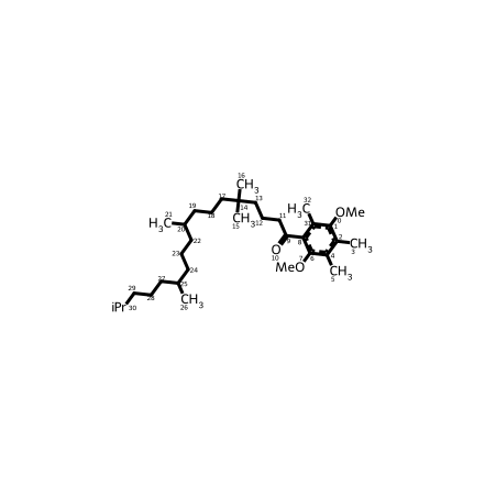 COc1c(C)c(C)c(OC)c(C(=O)CCCC(C)(C)CCCC(C)CCCC(C)CCCC(C)C)c1C